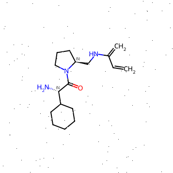 C=CC(=C)NC[C@@H]1CCCN1C(=O)[C@@H](N)C1CCCCC1